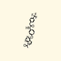 CC(=O)n1ccc2c(OC3=CC=C(NC(=O)Cc4ccc(C(F)(F)F)cc4)C=CC3)ncnc21